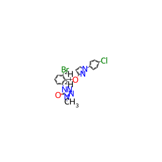 [2H]C([2H])(Oc1ccn(-c2ccc(Cl)cc2)n1)c1c(Br)cccc1-n1nnn(C)c1=O